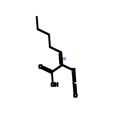 CCCC/C=C(/N=C=O)C(=O)O